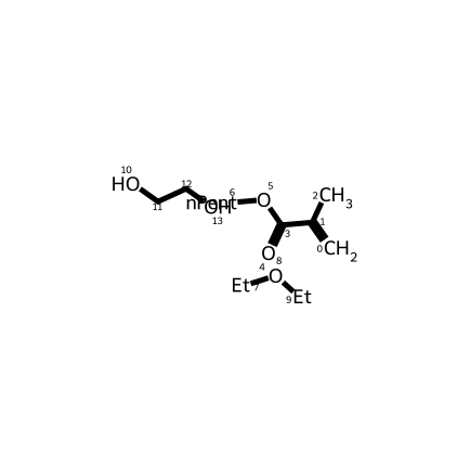 C=C(C)C(=O)OCCCCC.CCOCC.OCCO